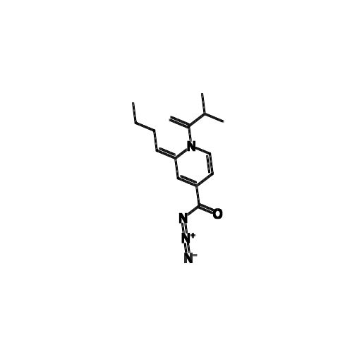 C=C(C(C)C)N1C=CC(C(=O)N=[N+]=[N-])=C/C1=C/CCC